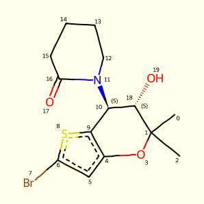 CC1(C)Oc2cc(Br)sc2[C@@H](N2CCCCC2=O)[C@@H]1O